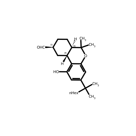 CCCCCCC(C)(C)c1cc(O)c2c(c1)OC(C)(C)[C@@H]1CC[C@H](C=O)C[C@@H]21